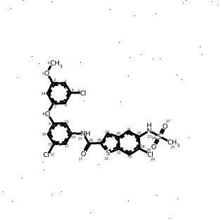 COc1cc(Cl)cc(Oc2cc(Cl)cc(NC(=O)c3cc4cc(NS(C)(=O)=O)c(Cl)cc4s3)c2)c1